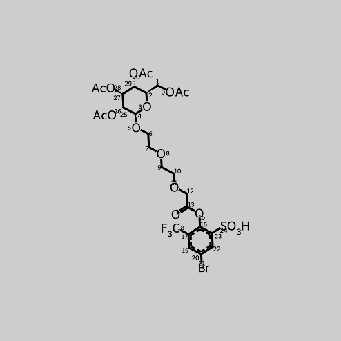 CC(=O)OC[C@H]1O[C@@H](OCCOCCOCC(=O)Oc2c(C(F)(F)F)cc(Br)cc2S(=O)(=O)O)[C@H](OC(C)=O)[C@@H](OC(C)=O)[C@@H]1OC(C)=O